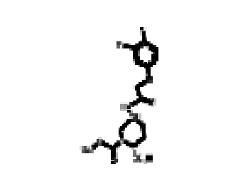 CC(C)(C)OC(=O)N1C[Si@@H](NC(=O)COc2ccc(Cl)c(Cl)c2)CC[C@@H]1C(=O)O